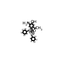 CC(OP(=O)(OCc1ccccc1)OCc1ccccc1)c1cc(O)c(N)cn1